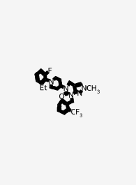 CCc1cccc(F)c1N1CCC(N2Cc3cn(C)nc3N(Cc3ccccc3C(F)(F)F)C2=O)CC1